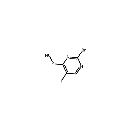 N#CSc1nc(Br)ncc1I